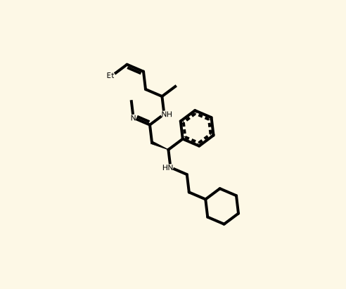 CC/C=C\CC(C)N/C(C[C@H](NCCC1CCCCC1)c1ccccc1)=N\C